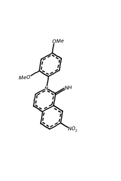 COc1ccc(-n2ccc3ccc([N+](=O)[O-])cc3c2=N)c(OC)c1